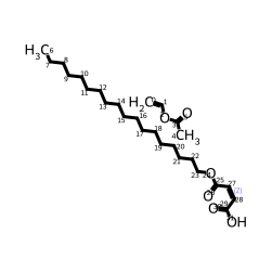 C=COC(C)=O.CCCCCCCCCCCCCCCCCCOC(=O)/C=C\C(=O)O